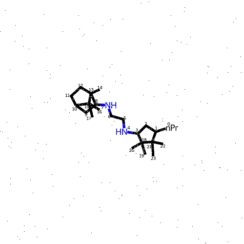 CCCC1CC(NCCNC2CC3CCC2(C)C3(C)C)C(C)(C)C1(C)C